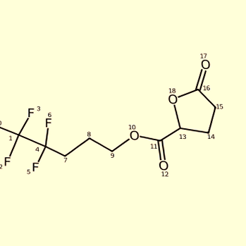 CC(F)(F)C(F)(F)CCCOC(=O)C1CCC(=O)O1